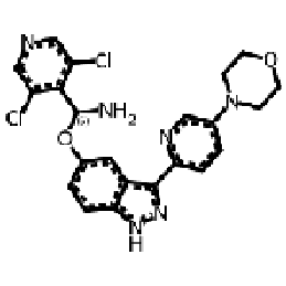 N[C@@H](Oc1ccc2[nH]nc(-c3ccc(N4CCOCC4)cn3)c2c1)c1c(Cl)cncc1Cl